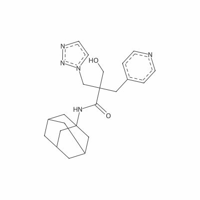 O=C(NC12CC3CC(CC(C3)C1)C2)C(CO)(Cc1ccncc1)Cn1ccnn1